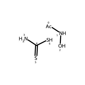 CC(=O)NO.NC(=S)S